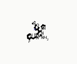 C=C(/C=C\C(=O)N(C)C)c1c(-n2cccn2)nc(N)n2nc(Cc3ncccc3F)nc12